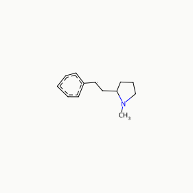 CN1CCCC1C[CH]c1ccccc1